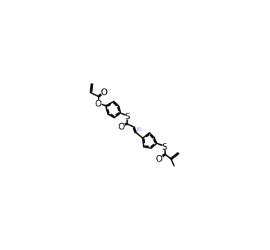 C=CC(=O)Oc1ccc(SC(=O)/C=C/c2ccc(SC(=O)C(=C)C)cc2)cc1